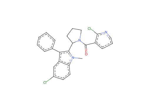 Cn1c(C2CCCN2C(=O)c2cccnc2Cl)c(-c2ccccc2)c2cc(Cl)ccc21